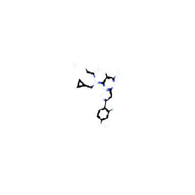 COCCN(CC1CC1)c1c(C)c(N)nc2cc(-c3ccc(OC)cc3Cl)nn12